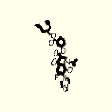 C#CCC(CC#C)COC(=O)c1cccc(OC(=O)c2cn3c4c(c(N5CCN(C)CC5)c(F)cc4c2=O)OCC3C)c1